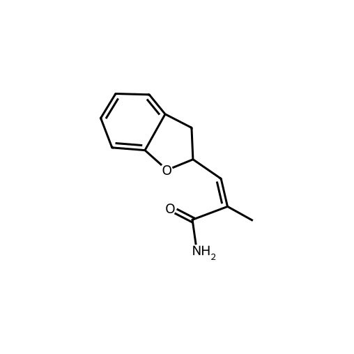 CC(=CC1Cc2ccccc2O1)C(N)=O